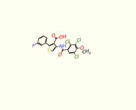 COc1c(Cl)cc(C(=O)Nc2csc(-c3cccc(I)c3)c2C(=O)O)c(Cl)c1Cl